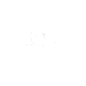 CCC1(C(=O)O)C(COC(C)=O)NC(CF)C(C)(C(=O)O)C1c1cccc(F)c1C(F)F